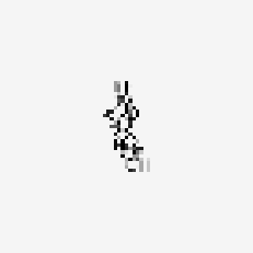 CCN1CCN(C(=O)[C@]23CCC(C)(C)C[C@H]2C2=CC[C@@H]4[C@@]5(C)CC[C@H](O)C(C)(C)[C@@H]5CC[C@@]4(C)[C@]2(C)CC3)CC1